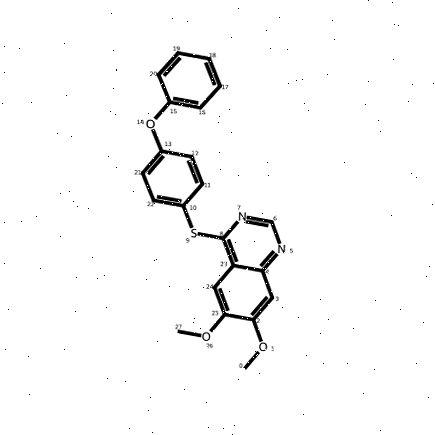 COc1cc2ncnc(Sc3ccc(Oc4ccccc4)cc3)c2cc1OC